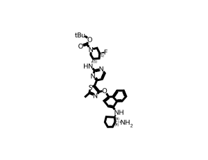 Cc1nc(Oc2ccc(N[C@@H]3CCCC[C@H]3N)c3ccccc23)c(-c2ccnc(N[C@H]3C[C@H](F)CN(C(=O)OC(C)(C)C)C3)n2)s1